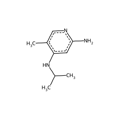 Cc1cnc(N)cc1NC(C)C